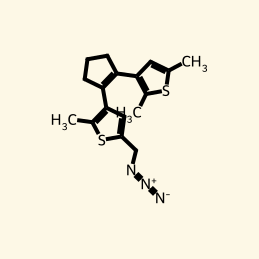 Cc1cc(C2=C(c3cc(CN=[N+]=[N-])sc3C)CCC2)c(C)s1